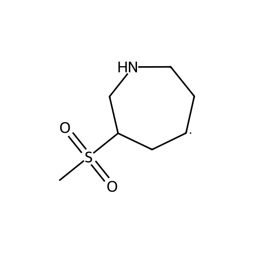 CS(=O)(=O)C1C[CH]CCNC1